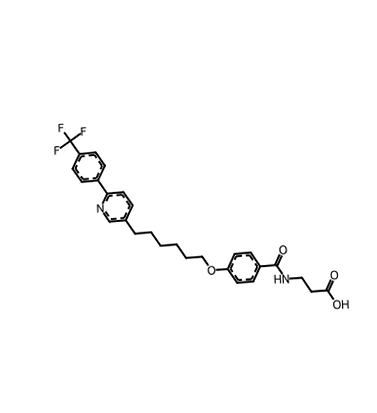 O=C(O)CCNC(=O)c1ccc(OCCCCCCc2ccc(-c3ccc(C(F)(F)F)cc3)nc2)cc1